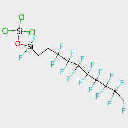 FCC(F)(F)C(F)(F)C(F)(F)C(F)(F)C(F)(F)C(F)(F)C(F)(F)CC[Si](F)(F)O[Si](Cl)(Cl)Cl